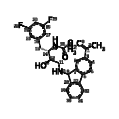 C=C(C)c1ccc2c(c1)C(NC[C@@H](O)[C@H](Cc1cc(F)cc(F)c1)NC(C)=O)c1ccccc1-2